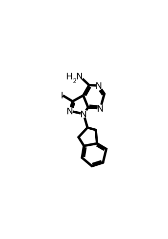 Nc1ncnc2c1c(I)nn2C1Cc2ccccc2C1